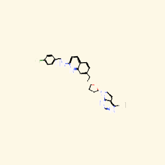 Cc1ncnc2c1ccn2[C@H]1CC[C@@H](CCc2ccc3ccc(NCc4ccc(Cl)cc4)nc3c2)O1